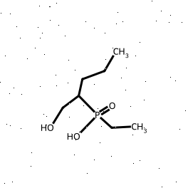 CCCC(CO)P(=O)(O)CC